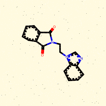 O=C1c2ccccc2C(=O)N1CCn1cnc2ccccc21